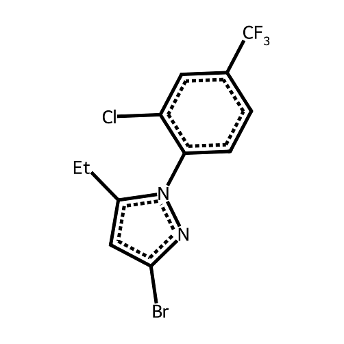 CCc1cc(Br)nn1-c1ccc(C(F)(F)F)cc1Cl